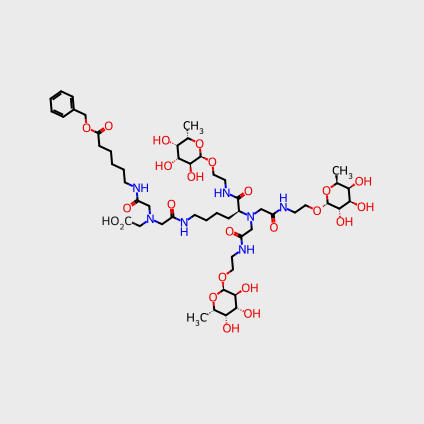 C[C@@H]1O[C@@H](OCCNC(=O)CN(CC(=O)NCCO[C@@H]2O[C@@H](C)[C@@H](O)[C@@H](O)[C@@H]2O)[C@@H](CCCCNC(=O)CN(CC(=O)O)CC(=O)NCCCCCC(=O)OCc2ccccc2)C(=O)NCCO[C@@H]2O[C@@H](C)[C@@H](O)[C@@H](O)[C@@H]2O)[C@@H](O)[C@H](O)[C@@H]1O